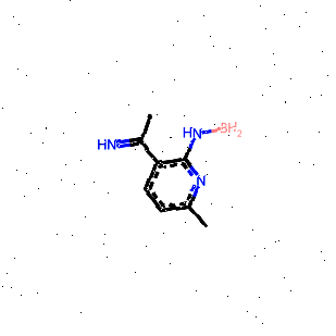 BNc1nc(C)ccc1C(C)=N